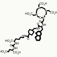 O=C(O)CC[C@H](NC(=O)N[C@@H](CCCCNC(=O)C1CCC(CNC(=O)C(Cc2ccc3ccccc3c2)NC(=O)CN2CCN(CC(=O)O)CCN(CC(=O)O)CCN(CC(=O)O)CC2)CC1)C(=O)O)C(=O)O